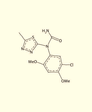 COc1cc(OC)c(N(C(N)=O)c2nnc(C)s2)cc1Cl